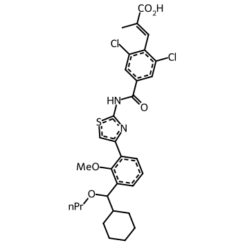 CCCOC(c1cccc(-c2csc(NC(=O)c3cc(Cl)c(/C=C(\C)C(=O)O)c(Cl)c3)n2)c1OC)C1CCCCC1